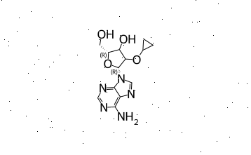 Nc1ncnc2c1ncn2[C@@H]1O[C@H](CO)C(O)C1OC1CC1